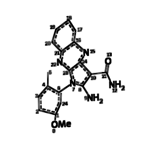 COc1ccc(C)c(-n2c(N)c(C(N)=O)c3nc4ccccc4nc32)c1